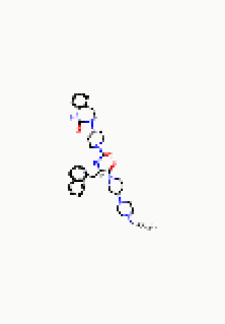 CCOC(=O)CN1CCN(C2CCN(C(=O)[C@@H](Cc3cccc4ccccc34)NC(=O)N3CCC(N4CCc5ccccc5NC4=O)CC3)CC2)CC1